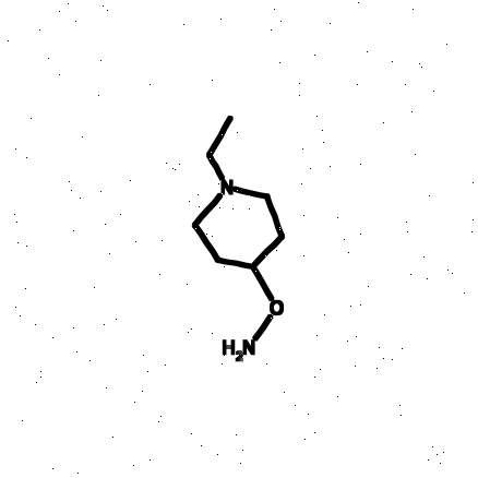 CCN1CCC(ON)CC1